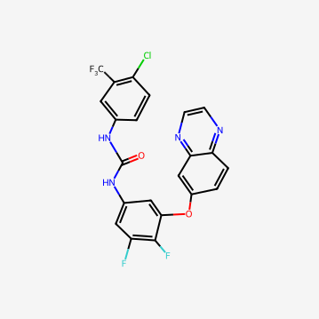 O=C(Nc1cc(F)c(F)c(Oc2ccc3nccnc3c2)c1)Nc1ccc(Cl)c(C(F)(F)F)c1